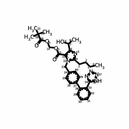 CCCCc1nc(C(C)O)c(C(=O)OCOC(=O)C(C)(C)C)n1Cc1ccc(-c2ccccc2-c2nnn[nH]2)cc1